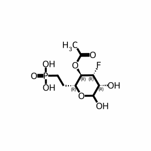 CC(=O)O[C@H]1[C@H](F)[C@H](O)C(O)O[C@@H]1CCP(=O)(O)O